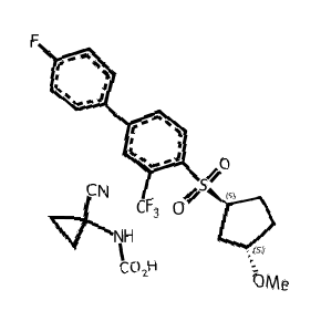 CO[C@H]1CC[C@H](S(=O)(=O)c2ccc(-c3ccc(F)cc3)cc2C(F)(F)F)C1.N#CC1(NC(=O)O)CC1